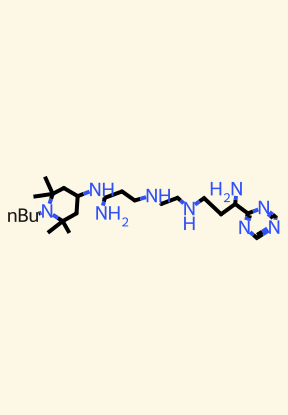 CCCCN1C(C)(C)CC(NC(N)CCNCCNCCC(N)c2ncncn2)CC1(C)C